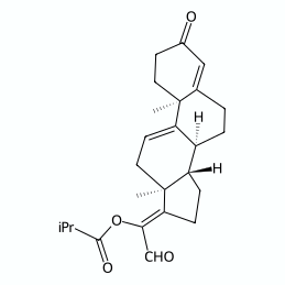 CC(C)C(=O)OC(C=O)=C1CC[C@H]2[C@@H]3CCC4=CC(=O)CC[C@]4(C)C3=CC[C@]12C